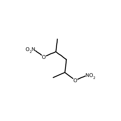 CC(CC(C)O[N+](=O)[O-])O[N+](=O)[O-]